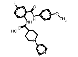 COc1ccc(NC(=O)c2cc(F)ccc2NC(=O)C2CCN(c3ccncc3)CC2)cc1.Cl